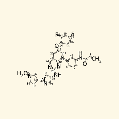 C=CC(=O)Nc1cccc(N2CC(Oc3ccc(F)cc3F)=Cc3cnc(Nc4cnn(C5CCN(C)C5)c4)nc32)c1